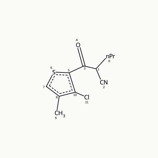 CCCC(C#N)C(=O)c1scc(C)c1Cl